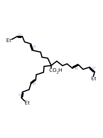 CC/C=C\C/C=C/CCCC(CCC/C=C/C/C=C\CC)(CCC/C=C/C/C=C\CC)C(=O)O